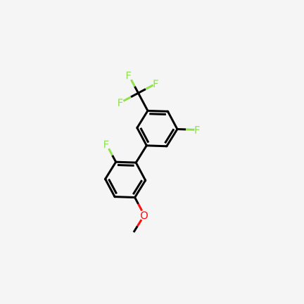 COc1ccc(F)c(-c2cc(F)cc(C(F)(F)F)c2)c1